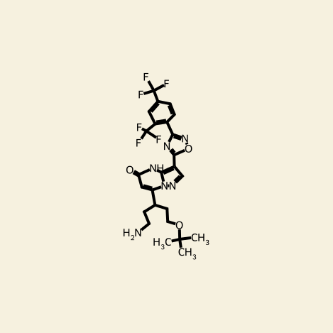 CC(C)(C)OCCC(CCN)c1cc(=O)[nH]c2c(-c3nc(-c4ccc(C(F)(F)F)cc4C(F)(F)F)no3)cnn12